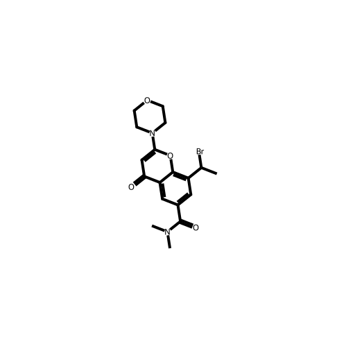 CC(Br)c1cc(C(=O)N(C)C)cc2c(=O)cc(N3CCOCC3)oc12